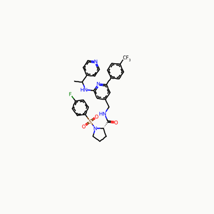 CC(Nc1cc(CNC(=O)[C@@H]2CCCN2S(=O)(=O)c2ccc(F)cc2)cc(-c2ccc(C(F)(F)F)cc2)n1)c1ccncc1